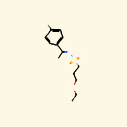 CC(NS(=O)(=O)CCCOCC(C)(C)C)c1ccc(Cl)cc1